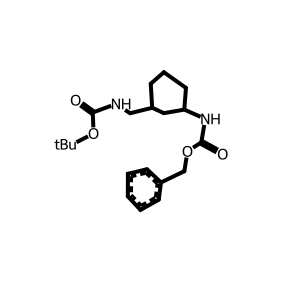 CC(C)(C)OC(=O)NCC1CCCC(NC(=O)OCc2ccccc2)C1